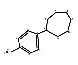 CC(C)(C)c1ccc(C2CCCCCC2)cc1